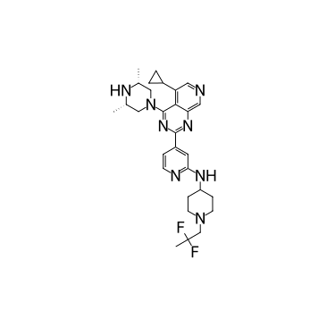 C[C@@H]1CN(c2nc(-c3ccnc(NC4CCN(CC(C)(F)F)CC4)c3)nc3cncc(C4CC4)c23)C[C@H](C)N1